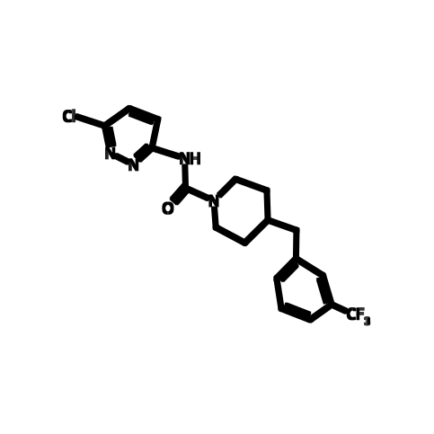 O=C(Nc1ccc(Cl)nn1)N1CCC(Cc2cccc(C(F)(F)F)c2)CC1